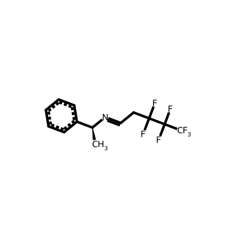 C[C@H](N=CCC(F)(F)C(F)(F)C(F)(F)F)c1ccccc1